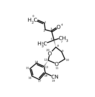 C=CCC(=O)C(C)(C)[C@@H]1CCO[C@H](c2ccccc2C#N)O1